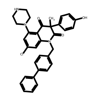 CC1(c2ccc(O)cc2)C(=O)c2c(N3CCNCC3)cc(Cl)cc2N(Cc2ccc(-c3ccccc3)cc2)C1=O